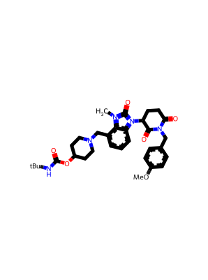 COc1ccc(CN2C(=O)CCC(n3c(=O)n(C)c4c(CN5CCC(OC(=O)NC(C)(C)C)CC5)cccc43)C2=O)cc1